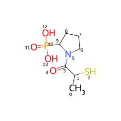 CC(S)C(=O)N1CCCC1P(=O)(O)O